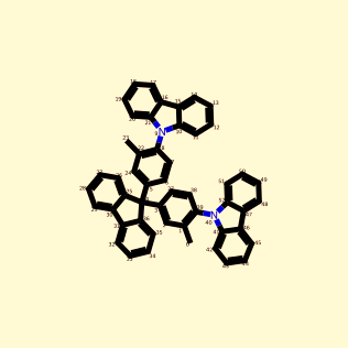 Cc1cc(C2(c3ccc(-n4c5ccccc5c5ccccc54)c(C)c3)c3ccccc3-c3ccccc32)ccc1-n1c2ccccc2c2ccccc21